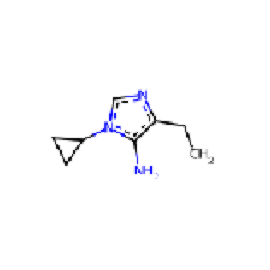 [CH2]Cc1ncn(C2CC2)c1N